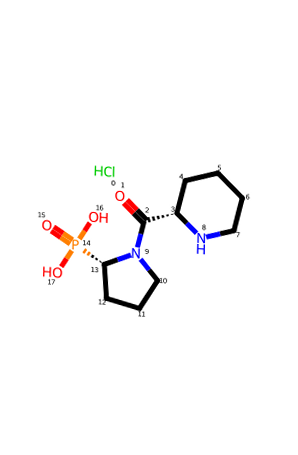 Cl.O=C([C@@H]1CCCCN1)N1CCC[C@@H]1P(=O)(O)O